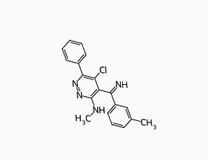 CNc1nnc(-c2ccccc2)c(Cl)c1C(=N)c1cccc(C)c1